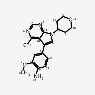 COc1cc(-c2cn(C3CCOCC3)c3ncnc(Cl)c23)ccc1N